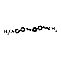 CCCCCC1CCC(c2ccc(OC/C=C/[C@H]3CC[C@H]([C@H]4CC[C@H](CCC)CC4)CC3)cc2)CC1